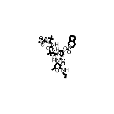 C=CCNC(=O)C(=O)C(CCC)NC(=O)[C@@H]1C[C@@H](OC(=O)N2CCc3ccccc3C2)CN1C(=O)[C@@H](NC(=O)N[C@H](CN(C)S(C)(=O)=O)C(C)(C)C)C(C)(C)C